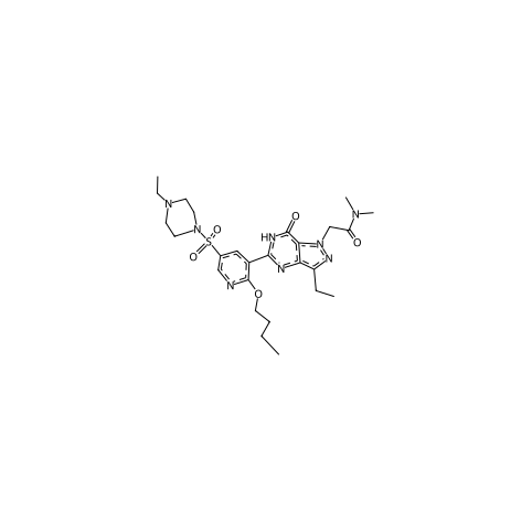 CCCCOc1ncc(S(=O)(=O)N2CCN(CC)CC2)cc1-c1nc2c(CC)nn(CC(=O)N(C)C)c2c(=O)[nH]1